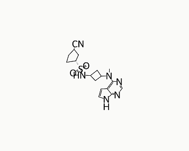 CN(c1ncnc2[nH]ccc12)C1CC(NS(=O)(=O)[C@@H]2CC[C@H](C#N)C2)C1